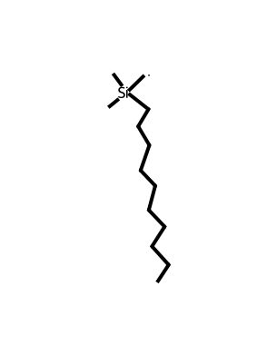 [CH2][Si](C)(C)CCCCCCCCCC